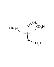 C=C[Si](OC(=O)O)(OC(=O)O)OC(=O)O